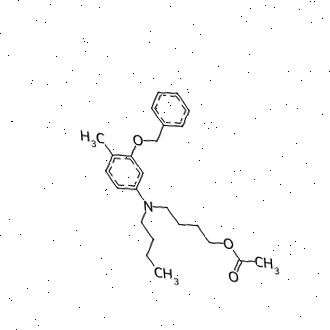 CCCCN(CCCCOC(C)=O)c1ccc(C)c(OCc2ccccc2)c1